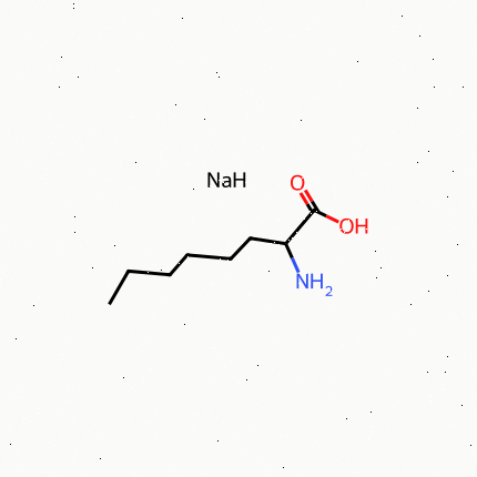 CCCCCCC(N)C(=O)O.[NaH]